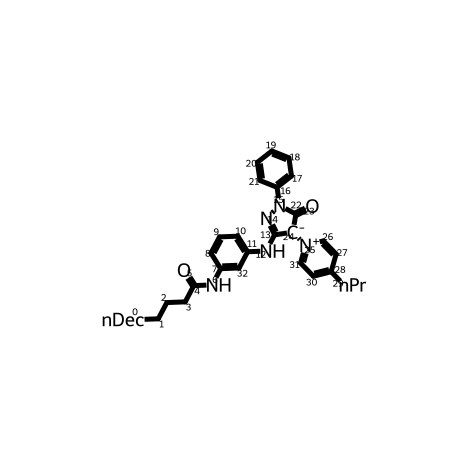 CCCCCCCCCCCCCC(=O)Nc1cccc(Nc2nn(-c3ccccc3)c(=O)[c-]2-[n+]2ccc(CCC)cc2)c1